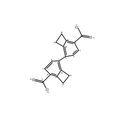 O=C(Cl)c1ccc(-c2ccc(C(=O)Cl)c3c2CC3)c2c1CC2